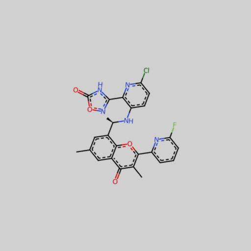 Cc1cc([C@@H](C)Nc2ccc(Cl)nc2-c2noc(=O)[nH]2)c2oc(-c3cccc(F)n3)c(C)c(=O)c2c1